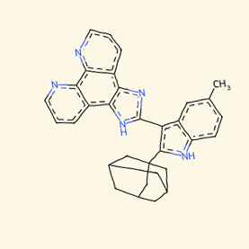 Cc1ccc2[nH]c(C34CC5CC(CC(C5)C3)C4)c(-c3nc4c5cccnc5c5ncccc5c4[nH]3)c2c1